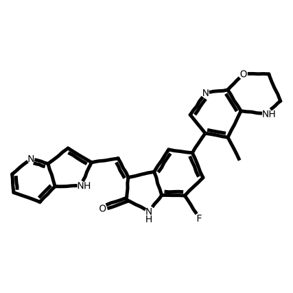 Cc1c(-c2cc(F)c3c(c2)/C(=C/c2cc4ncccc4[nH]2)C(=O)N3)cnc2c1NCCO2